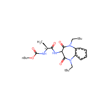 CCCCOC(=O)N[C@@H](C)C(=O)NC1C(=O)N(CC(C)(C)C)c2ccccc2N(CC(C)(C)C)C1=O